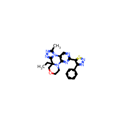 CCC12COCCN1c1nc(-c3snnc3-c3ccccc3)ncc1-n1c(C)nnc12